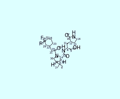 CC1(C)[C@@H]2[C@@H](C(=O)N[C@H](CO)C[C@@H]3CCNC3=O)N(C(=O)CC3CCCC(F)(F)C3)C[C@@H]21